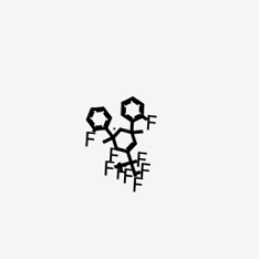 CC1(c2ccccc2F)[CH]C(C)(c2ccccc2F)CC(C(F)(C(F)(F)F)C(F)(F)F)=C1